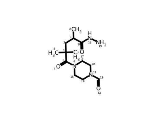 CC(CC(C)(C)C(=O)N1CCN(C=O)CC1)C(=O)NN